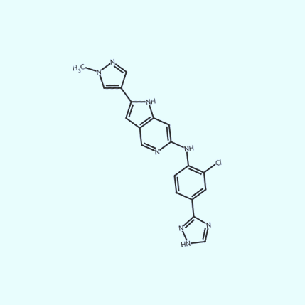 Cn1cc(-c2cc3cnc(Nc4ccc(-c5nc[nH]n5)cc4Cl)cc3[nH]2)cn1